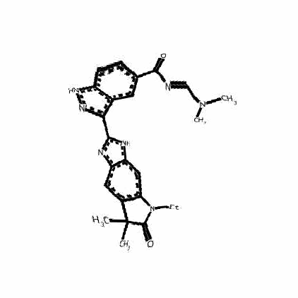 CCN1C(=O)C(C)(C)c2cc3nc(-c4n[nH]c5ccc(C(=O)/N=C/N(C)C)cc45)[nH]c3cc21